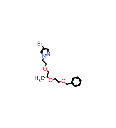 C[C@H](COCCn1cc(Br)cn1)OCCOCc1ccccc1